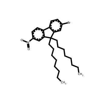 CCCCCCCCC1(CCCCCCCC)c2cc(Br)ccc2-c2ccc([N+](=O)[O-])cc21